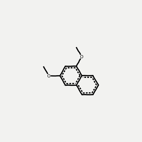 COc1[c]c2ccccc2c(OC)c1